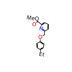 CCc1ccc(OCc2cccc(C(=O)OC)n2)cc1